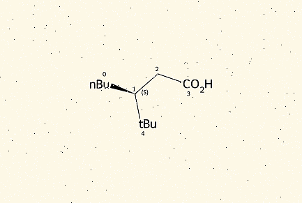 CCCC[C@@H](CC(=O)O)C(C)(C)C